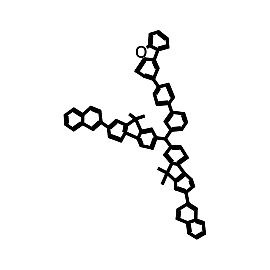 CC1(C)c2cc(-c3ccc4ccccc4c3)ccc2-c2ccc(C(c3cccc(-c4ccc(-c5ccc6oc7ccccc7c6c5)cc4)c3)c3ccc4c(c3)C(C)(C)c3cc(-c5ccc6ccccc6c5)ccc3-4)cc21